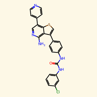 Nc1ncc(-c2ccncc2)c2scc(-c3ccc(NC(=O)Nc4cccc(Cl)c4)cc3)c12